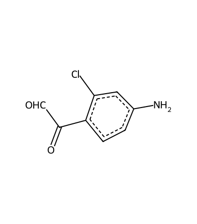 Nc1ccc(C(=O)C=O)c(Cl)c1